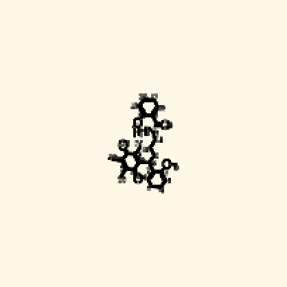 COc1ccccc1C(CCCNC(=O)c1ccccc1O)C1=C(C)C(=O)C(C)=C(C)C1=O